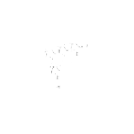 Cn1ccnc1.Cn1ccnc1.Cn1ccnc1.Cn1ccnc1.I.I.I.[B]